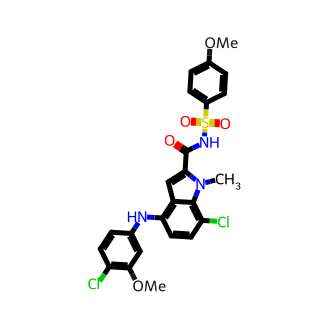 COc1ccc(S(=O)(=O)NC(=O)c2cc3c(Nc4ccc(Cl)c(OC)c4)ccc(Cl)c3n2C)cc1